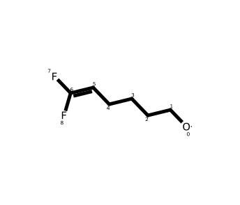 [O]CCCCC=C(F)F